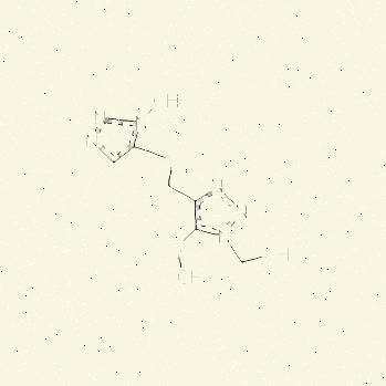 CCn1nnc(CSc2cnnn2C)c1SC